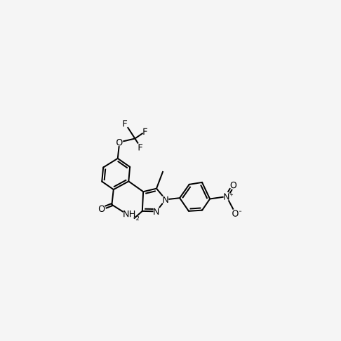 Cc1nn(-c2ccc([N+](=O)[O-])cc2)c(C)c1-c1cc(OC(F)(F)F)ccc1C(N)=O